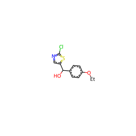 CCOc1ccc(C(O)c2cnc(Cl)s2)cc1